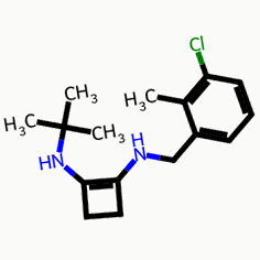 Cc1c(Cl)cccc1CNC1=C(NC(C)(C)C)CC1